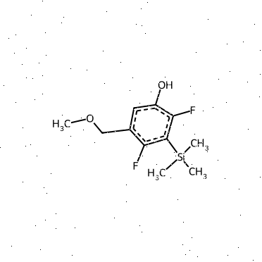 COCc1cc(O)c(F)c([Si](C)(C)C)c1F